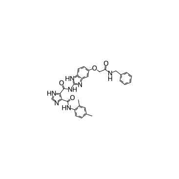 Cc1ccc(NC(=O)c2nc[nH]c2C(=O)Nc2nc3cc(OCC(=O)NCc4ccccc4)ccc3[nH]2)c(C)c1